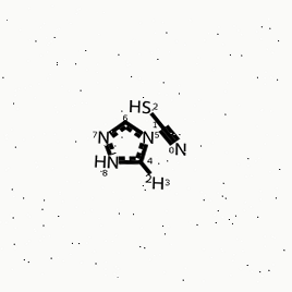 N#CS.[2H]c1ncn[nH]1